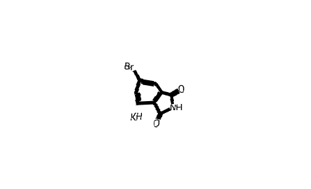 O=C1NC(=O)c2cc(Br)ccc21.[KH]